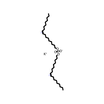 CCCCCCCC/C=C\CCCCCCCCOP(=O)([O-])OCCCCCCCC/C=C\CCCCCCCC.[K+]